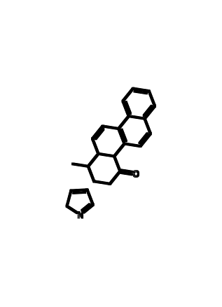 C1=CCN=C1.CC1CCC(=O)C2c3ccc4ccccc4c3C=CC12